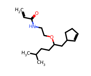 C=CC(=O)NCCOC(CCC(C)C)CC1C=CCC1